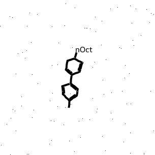 CCCCCCCCC1C=CC(c2ccc(C)cc2)=CC1